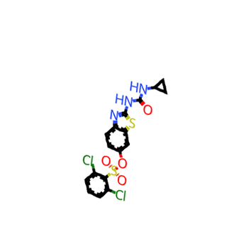 O=C(Nc1nc2ccc(OS(=O)(=O)c3c(Cl)cccc3Cl)cc2s1)NC1CC1